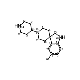 Cc1ccc2c(c1)C1(CCN(C3CCNCC3)CC1)CN2